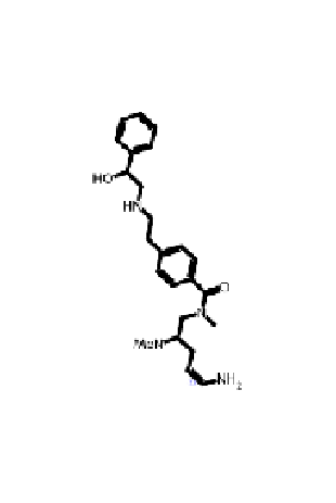 CNC(C/C=C\N)CN(C)C(=O)c1ccc(CCNCC(O)c2ccccc2)cc1